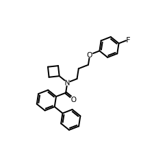 O=C(c1ccccc1-c1ccccc1)N(CCCOc1ccc(F)cc1)C1CCC1